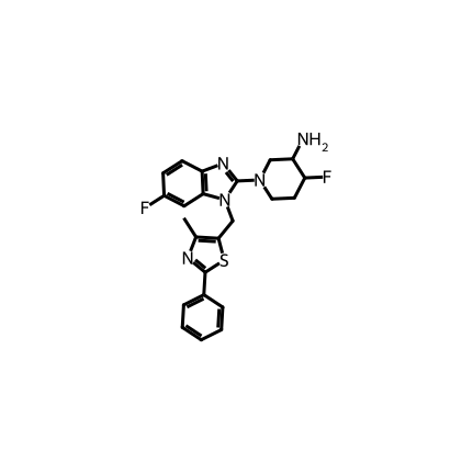 Cc1nc(-c2ccccc2)sc1Cn1c(N2CCC(F)C(N)C2)nc2ccc(F)cc21